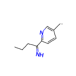 [CH2]c1ccc(C(=N)CCC)nc1